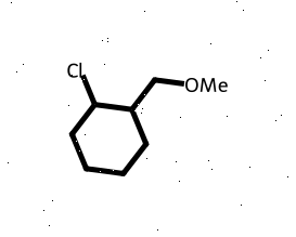 COCC1CCCCC1Cl